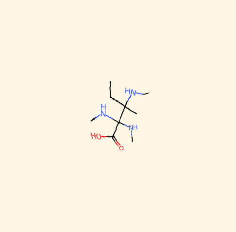 CCC(C)(NC)C(NC)(NC)C(=O)O